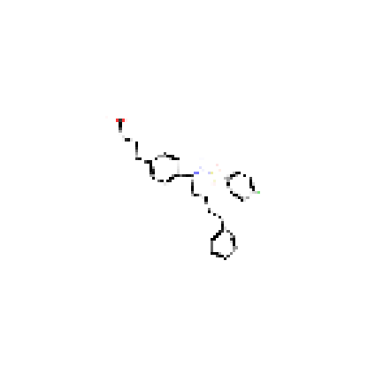 O=C(O)CCCc1ccc(C(CCCCc2ccccc2)NS(=O)(=O)c2ccc(Cl)cc2)cc1